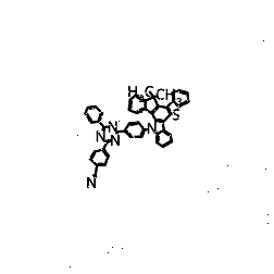 CC1(C)c2ccccc2-c2c1c1c3ccccc3sc1c1c3ccccc3n(-c3ccc(-c4nc(-c5ccccc5)nc(-c5ccc(C#N)cc5)n4)cc3)c21